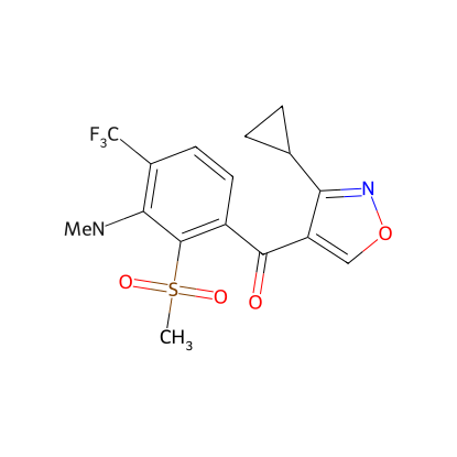 CNc1c(C(F)(F)F)ccc(C(=O)c2conc2C2CC2)c1S(C)(=O)=O